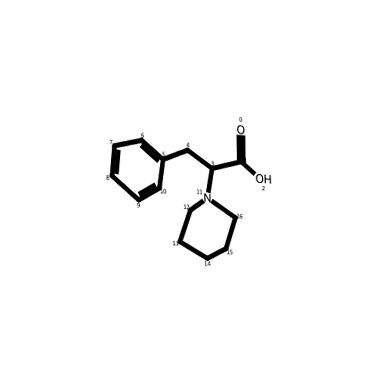 O=C(O)C(Cc1ccccc1)N1CCCCC1